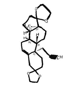 C#CC[C@]12CCC3(CC1=CC[C@@H]1[C@@H]2CC[C@@]2(C)[C@H]1CCC21OCCO1)OCCO3